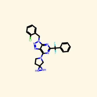 FC(F)(c1ccccc1)c1nc(N2CCC3(C2)NN3)c2nnn(Cc3ccccc3Cl)c2n1